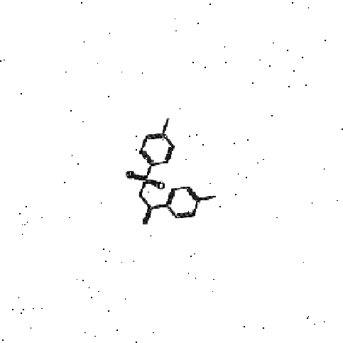 C=C(CS(=O)(=O)c1ccc(C)cc1)c1ccc(C)cc1